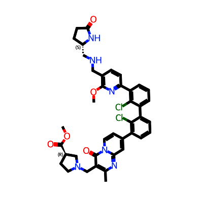 COC(=O)[C@@H]1CCN(Cc2c(C)nc3cc(-c4cccc(-c5cccc(-c6ccc(CNC[C@@H]7CCC(=O)N7)c(OC)n6)c5Cl)c4Cl)ccn3c2=O)C1